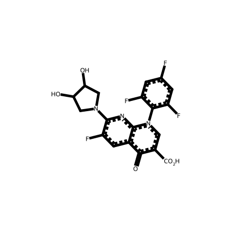 O=C(O)c1cn(-c2c(F)cc(F)cc2F)c2nc(N3CC(O)C(O)C3)c(F)cc2c1=O